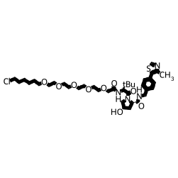 Cc1ncsc1-c1ccc(CNC(=O)[C@@H]2C[C@@H](O)CN2C(=O)[C@@H](NC(=O)COCCOCCOCCOCCOCCCCCCCl)C(C)(C)C)cc1